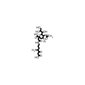 CC(=O)NC1C(O)CC(CC(=O)NCCCC(N)C(=O)CC(=O)O)(C(=O)O)OC1C(O)C(O)CO